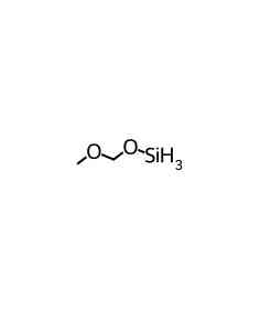 COCO[SiH3]